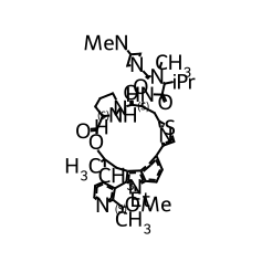 CCn1c(-c2cccnc2[C@H](C)OC)c2c3cc(ccc31)-c1csc(n1)C[C@H](NC(=O)C(C(C)C)N(C)C(=O)N1CC(NC)C1)C(=O)N1CCC[C@H](N1)C(=O)OCC(C)(C)C2